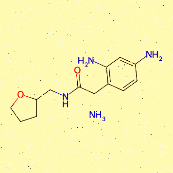 N.Nc1ccc(CC(=O)NCC2CCCO2)c(N)c1